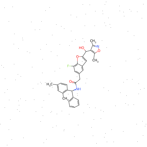 Cc1ccc([C@@H](NC(=O)Cc2cc(F)c3oc(C(O)c4c(C)noc4C)cc3c2)c2ccccc2)c(C)c1